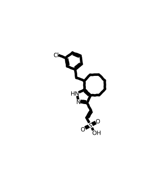 O=S(=O)(O)/C=C/c1n[nH]c2c1CCCCCC2Cc1cccc(Cl)c1